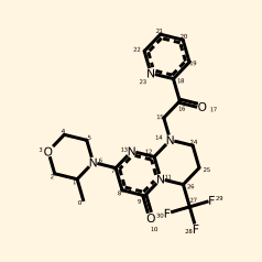 CC1COCCN1c1cc(=O)n2c(n1)N(CC(=O)c1ccccn1)CCC2C(F)(F)F